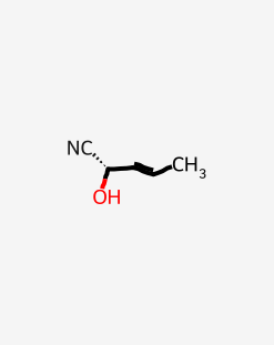 C/C=C/[C@H](O)C#N